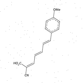 COc1ccc(C=CC=CC=C(C#N)C(=O)O)cc1